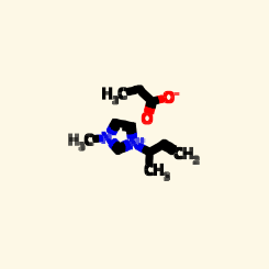 C=CC(C)[n+]1ccn(C)c1.CCC(=O)[O-]